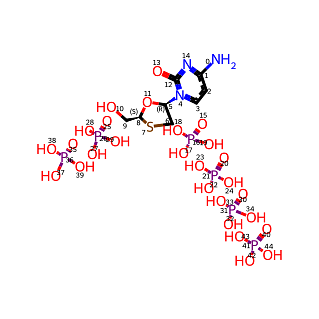 Nc1ccn([C@H]2CS[C@@H](CO)O2)c(=O)n1.O=P(O)(O)O.O=P(O)(O)O.O=P(O)(O)O.O=P(O)(O)O.O=P(O)(O)O.O=P(O)(O)O